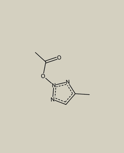 CC(=O)On1ncc(C)n1